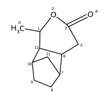 CC1OC(=O)CC2C3CCC(C3)C12